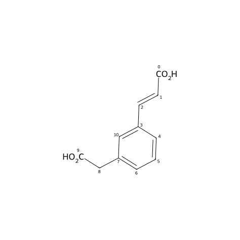 O=C(O)/C=C/c1cccc(CC(=O)O)c1